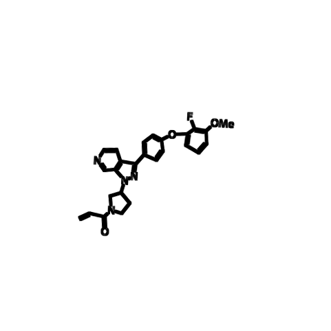 C=CC(=O)N1CCC(n2nc(-c3ccc(Oc4cccc(OC)c4F)cc3)c3ccncc32)C1